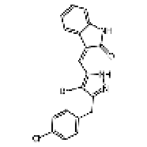 O=C1Nc2ccccc2C1=Cc1[nH]nc(Cc2ccc(Cl)cc2)c1Br